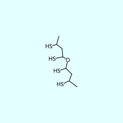 CC(S)CC(S)OC(S)CC(C)S